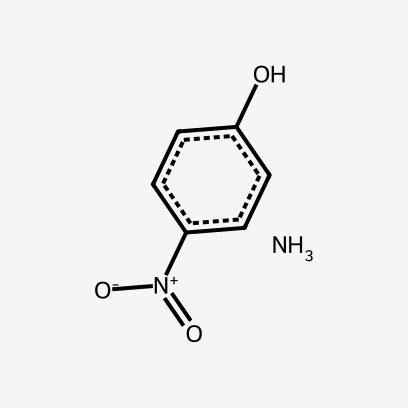 N.O=[N+]([O-])c1ccc(O)cc1